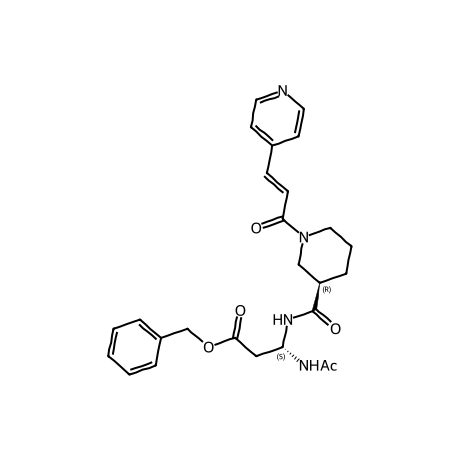 CC(=O)N[C@H](CC(=O)OCc1ccccc1)NC(=O)[C@@H]1CCCN(C(=O)C=Cc2ccncc2)C1